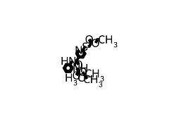 CCOC(=O)CSc1ccc(C(=O)Nc2ccccc2NC(=O)OC(C)(C)C)cn1